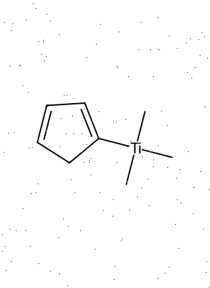 [CH3][Ti]([CH3])([CH3])[C]1=CC=CC1